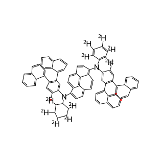 [2H]c1c([2H])c([2H])c(N(c2cc(-c3cccc4ccccc34)c(-c3cccc4ccccc34)cc2F)c2ccc3ccc4c(N(c5cc(-c6cccc7ccccc67)c(-c6cccc7ccccc67)cc5F)C5C([2H])C([2H])C([2H])C([2H])C5[2H])ccc5ccc2c3c54)c([2H])c1[2H]